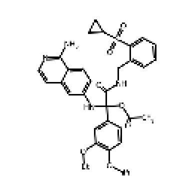 CCOc1cc(C(Nc2ccc3c(N)nccc3c2)(OC(=O)C(F)(F)F)C(=O)NCc2ccccc2S(=O)(=O)C2CC2)ccc1OC(C)C